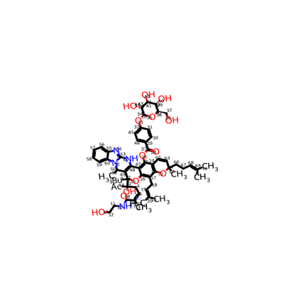 CCC(C)C1(C(O)(C/C=C(/C)C(=O)NCCO)C(C)=O)Oc2c(CC=C(C)C)c3c(c(OC(=O)c4ccc(O[C@@H]5O[C@H](CO)[C@@H](O)[C@H](O)[C@H]5O)cc4)c2C2=C1C(C)n1c(nc4ccccc41)N2)C=CC(C)(CCC=C(C)C)O3